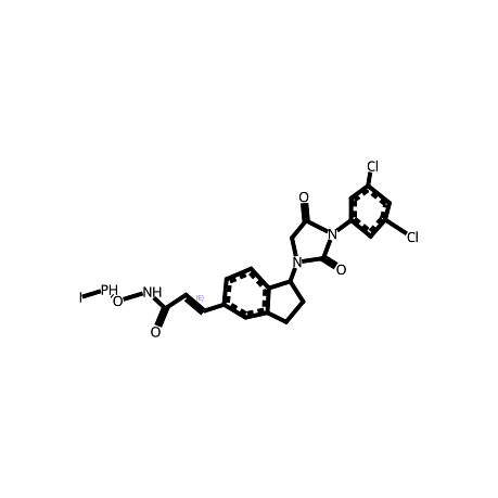 O=C(/C=C/c1ccc2c(c1)CCC2N1CC(=O)N(c2cc(Cl)cc(Cl)c2)C1=O)NOPI